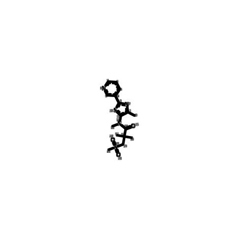 Cc1nc(-c2cccnc2)sc1N(C)C(=O)C(C)(C)CS(C)(=O)=O